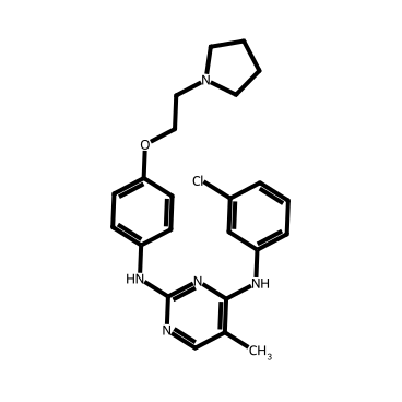 Cc1cnc(Nc2ccc(OCCN3CCCC3)cc2)nc1Nc1cccc(Cl)c1